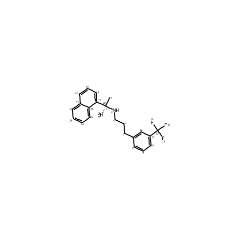 [2H][C@](C)(NCCCc1cccc(C(F)(F)F)c1)c1cccc2ccccc12